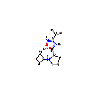 CC(C)c1noc(C2CCCN2C2CCC2)n1